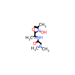 CC1=COC([C@H](C)NC(=O)CN(C)C)N1O